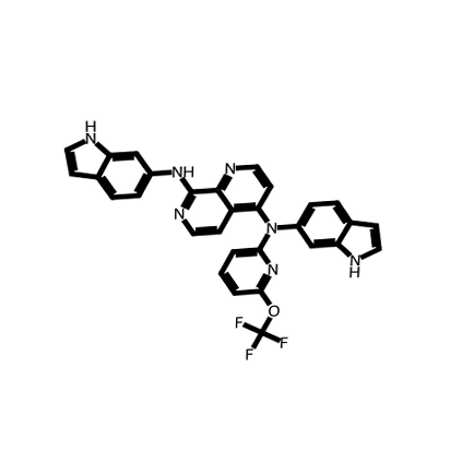 FC(F)(F)Oc1cccc(N(c2ccc3cc[nH]c3c2)c2ccnc3c(Nc4ccc5cc[nH]c5c4)nccc23)n1